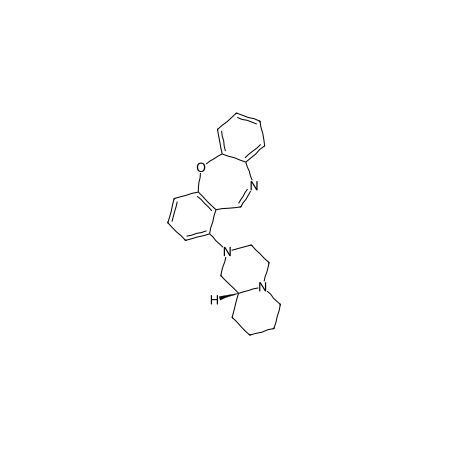 C1=Nc2ccccc2Oc2cccc(N3CCN4CCCC[C@@H]4C3)c21